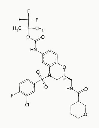 CC(C)(OC(=O)Nc1ccc2c(c1)N(S(=O)(=O)c1ccc(F)c(Cl)c1)C[C@H](CNC(=O)C1CCCOC1)O2)C(F)(F)F